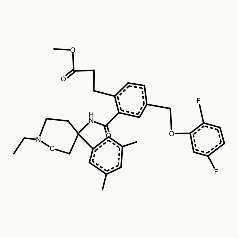 CCN1CCC(NC(=O)c2cc(COc3cc(F)ccc3F)ccc2CCC(=O)OC)(c2cc(C)cc(C)c2)CC1